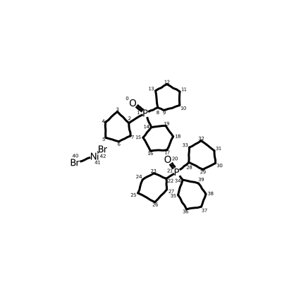 O=P(C1CCCCC1)(C1CCCCC1)C1CCCCC1.O=P(C1CCCCC1)(C1CCCCC1)C1CCCCC1.[Br][Ni][Br]